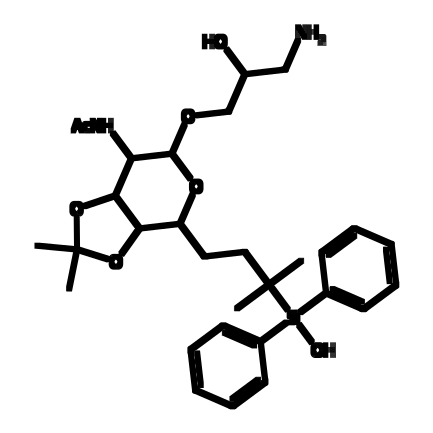 CC(=O)NC1C(OCC(O)CN)OC(CCC(C)(C)[Si](O)(c2ccccc2)c2ccccc2)C2OC(C)(C)OC12